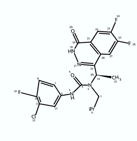 CC(C)CN(C(=O)Nc1ccc(F)c(Cl)c1)[C@H](C)c1n[nH]c(=O)c2cc(F)c(F)cc12